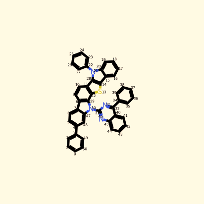 c1ccc(-c2ccc3c4ccc5c(sc6c7ccccc7n(-c7ccccc7)c56)c4n(-c4nc(-c5ccccc5)c5ccccc5n4)c3c2)cc1